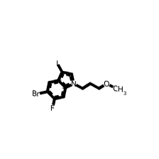 COCCCn1cc(I)c2cc(Br)c(F)cc21